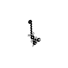 O=C(CCCCCCCCc1ccccc1)NC1CCC(n2c(=O)c3cc(F)cnc3n(C3CCSCC3)c2=O)CC1